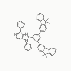 CC1(C)c2ccccc2-c2cc(-c3cc(-c4ccc5c(c4)-c4ccccc4C5(C)C)cc(-c4nc5c(-c6ccccc6)nccc5n4-c4ccccc4)c3)ccc21